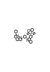 c1ccc(-c2ccc3ccc4ccc(-c5cccc(-c6nc7ccccc7c7cc8c(cc67)C6(c7ccccc7Oc7ccccc76)c6ccccc6-8)c5)nc4c3n2)cc1